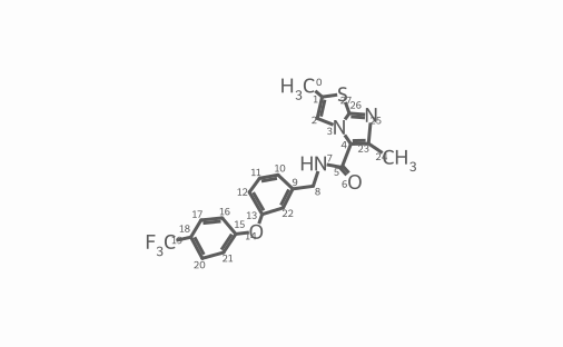 Cc1cn2c(C(=O)NCc3cccc(Oc4ccc(C(F)(F)F)cc4)c3)c(C)nc2s1